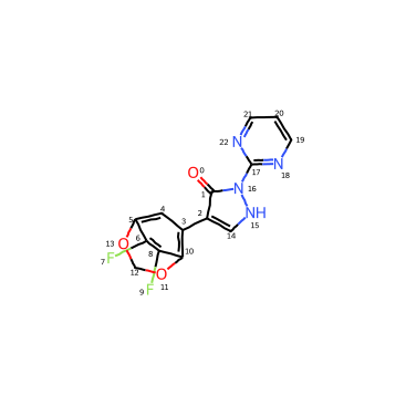 O=c1c(-c2cc3c(F)c(F)c2OCO3)c[nH]n1-c1ncccn1